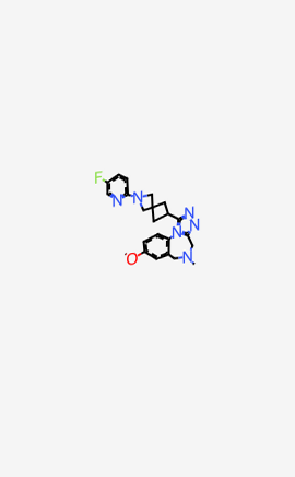 COc1ccc2c(c1)CN(C)Cc1nnc(C3CC4(C3)CN(c3ccc(F)cn3)C4)n1-2